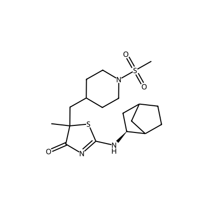 CC1(CC2CCN(S(C)(=O)=O)CC2)SC(N[C@H]2CC3CCC2C3)=NC1=O